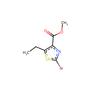 CCc1sc(Br)nc1C(=O)OC